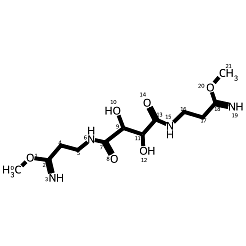 COC(=N)CCNC(=O)C(O)C(O)C(=O)NCCC(=N)OC